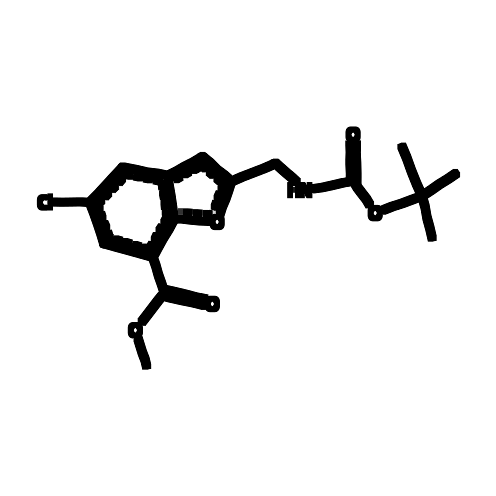 COC(=O)c1cc(Cl)cc2cc(CNC(=O)OC(C)(C)C)oc12